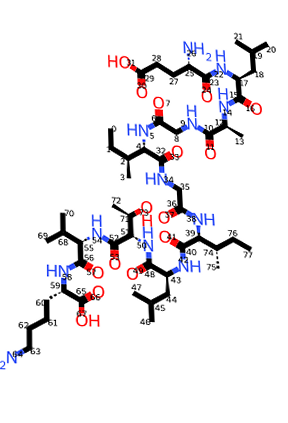 CC[C@H](C)[C@H](NC(=O)CNC(=O)[C@H](C)NC(=O)[C@H](CC(C)C)NC(=O)[C@@H](N)CCC(=O)O)C(=O)NCC(=O)N[C@H](C(=O)N[C@@H](CC(C)C)C(=O)N[C@H](C(=O)N[C@H](C(=O)N[C@@H](CCCCN)C(=O)O)C(C)C)[C@@H](C)O)[C@@H](C)CC